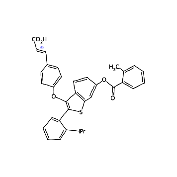 Cc1ccccc1C(=O)Oc1ccc2c(Oc3ccc(/C=C/C(=O)O)cc3)c(-c3ccccc3C(C)C)sc2c1